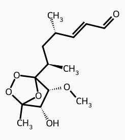 CO[C@@H]1[C@H](O)C2(C)OOC1([C@H](C)C[C@H](C)C=CC=O)O2